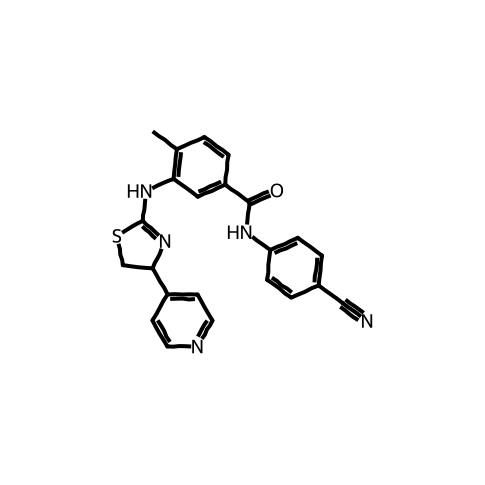 Cc1ccc(C(=O)Nc2ccc(C#N)cc2)cc1NC1=NC(c2ccncc2)CS1